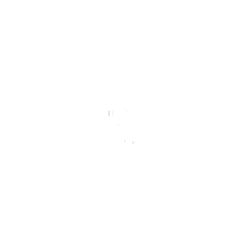 F.[Ca+2].[Cl-].[Cl-]